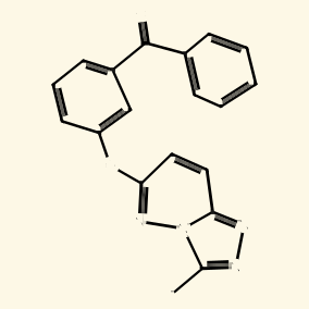 O=C(c1ccccc1)c1cccc(Oc2ccc3nnc(Cl)n3n2)c1